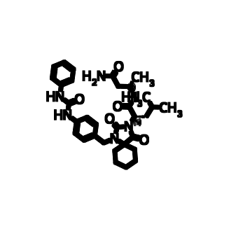 CC(C)C[C@@H](C(=O)N[C@H](C)CC(N)=O)N1C(=O)N(Cc2ccc(NC(=O)Nc3ccccc3)cc2)C2(CCCCC2)C1=O